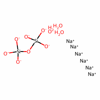 O.O.O.[Na+].[Na+].[Na+].[Na+].[Na+].[Na+].[O-][Si]([O-])([O-])O[Si]([O-])([O-])[O-]